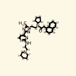 Cc1nc(-c2ccnc(NCCN3CCCCC3)n2)nn1CCN(C(=O)Cc1cccc2ccccc12)C1CCCC1